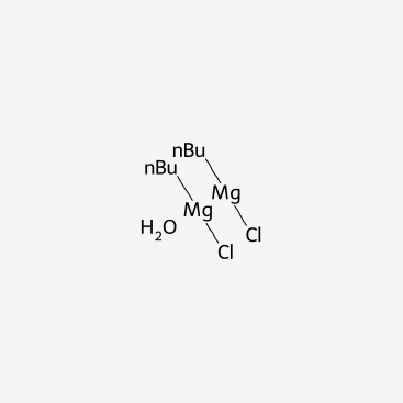 CCC[CH2][Mg][Cl].CCC[CH2][Mg][Cl].O